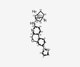 c1cnn(-c2ccc3c(c2)OCc2nc(N[C@H]4C[C@H]5CC[C@@H](C4)N5)ccc2-3)c1